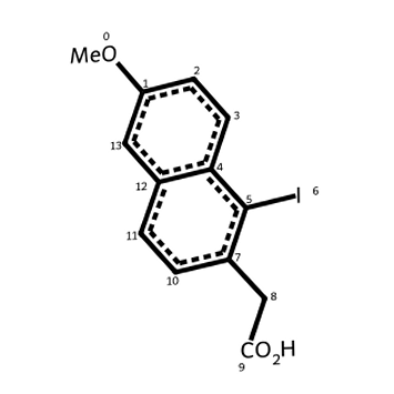 COc1ccc2c(I)c(CC(=O)O)ccc2c1